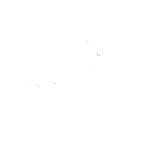 CCCCn1cnc2ccc(-c3ccc(NC(=O)C4CCCCC4)nc3)cc2c1=O